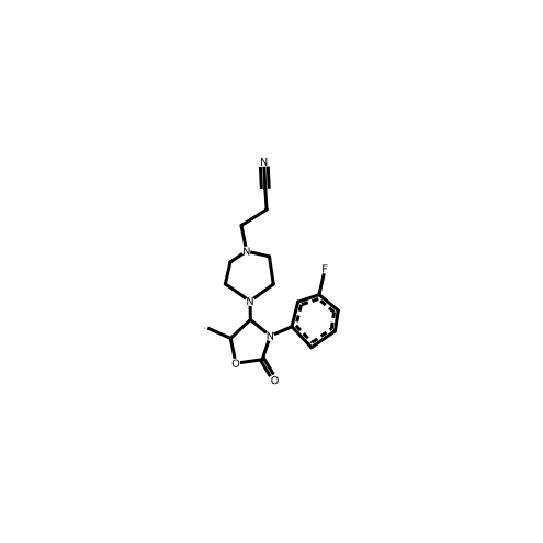 [CH2]C1OC(=O)N(c2cccc(F)c2)C1N1CCN(CCC#N)CC1